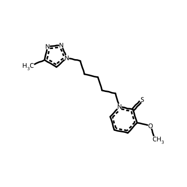 COc1cccn(CCCCCn2cc(C)nn2)c1=S